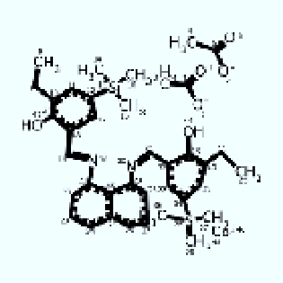 CC(=O)[O-].CC(=O)[O-].CCc1cc([Si](C)(C)C)cc(C=Nc2cccc3cccc(N=Cc4cc([Si](C)(C)C)cc(CC)c4O)c23)c1O.[Co+2]